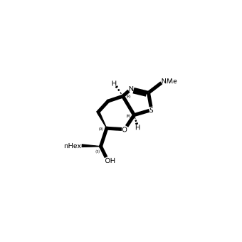 CCCCCC[C@H](O)[C@H]1CC[C@H]2N=C(NC)S[C@H]2O1